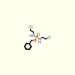 O=P(NCCCl)(NCCCl)OCc1ccccc1